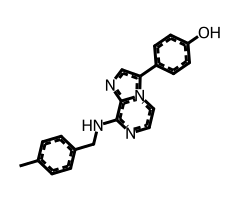 Cc1ccc(CNc2nccn3c(-c4ccc(O)cc4)cnc23)cc1